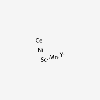 [Ce].[Mn].[Ni].[Sc].[Y]